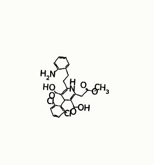 COC(=O)CC1=C(C(=O)O)C(c2c(Cl)cccc2Cl)C(C(=O)O)=C(CCc2ccccc2N)N1